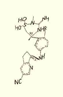 CN1C(=N)N[C@](C)(c2cc(N[C@@H]3CCc4cc(C#N)cnc43)ccc2F)CS1(O)O